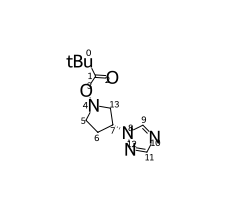 CC(C)(C)C(=O)ON1CC[C@@H](n2cncn2)C1